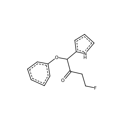 O=C(CCF)C(Oc1ccccc1)c1ccc[nH]1